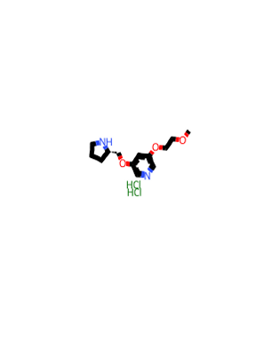 COCCOc1cncc(OC[C@@H]2CCCN2)c1.Cl.Cl